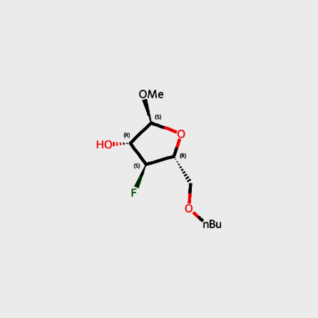 CCCCOC[C@H]1O[C@H](OC)[C@@H](O)[C@@H]1F